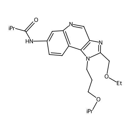 CCOCc1nc2cnc3cc(NC(=O)C(C)C)ccc3c2n1CCCOC(C)C